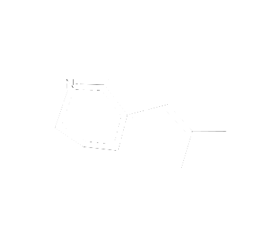 CC(C)=Cc1cccnc1